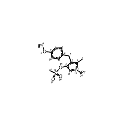 Cc1c(Cc2ccc(OC(C)C)cc2)c(OS(C)(=O)=O)nn1C(C)C